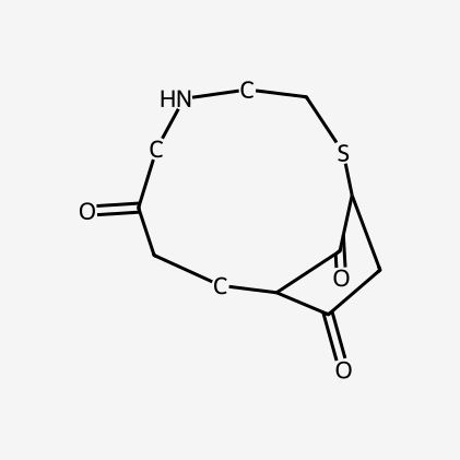 O=C1CCC2C(=O)CC(SCCNC1)C2=O